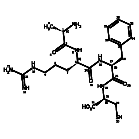 C[C@H](N)C(=O)N[C@@H](CCCNC(=N)N)C(=O)N[C@@H](Cc1ccccc1)C(=O)N[C@@H](CS)C(=O)O